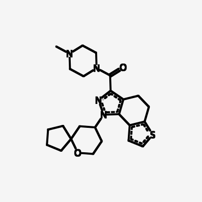 CN1CCN(C(=O)c2nn(C3CCOC4(CCCC4)C3)c3c2CCc2sccc2-3)CC1